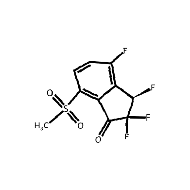 CS(=O)(=O)c1ccc(F)c2c1C(=O)C(F)(F)[C@@H]2F